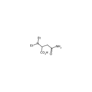 CCN(CC)C(CC(N)=O)C(=O)O